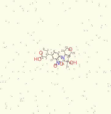 CCC(CC(=O)O)c1ccc(N(CC(C)(C)O)C2CCOCC2)c([N+](=O)[O-])c1